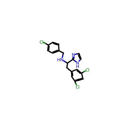 Clc1ccc(CNC(Cc2cc(Cl)cc(Cl)c2)c2ncc[nH]2)cc1